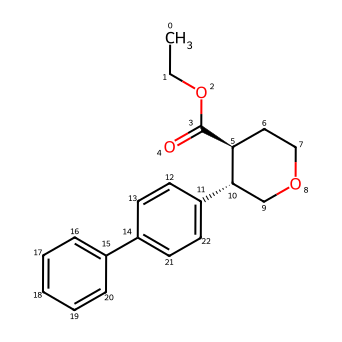 CCOC(=O)[C@H]1CCOC[C@@H]1c1ccc(-c2ccccc2)cc1